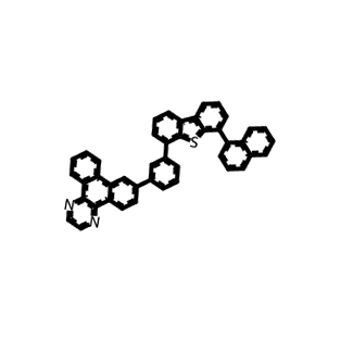 c1cc(-c2ccc3c(c2)c2ccccc2c2nccnc32)cc(-c2cccc3c2sc2c(-c4cccc5ccccc45)cccc23)c1